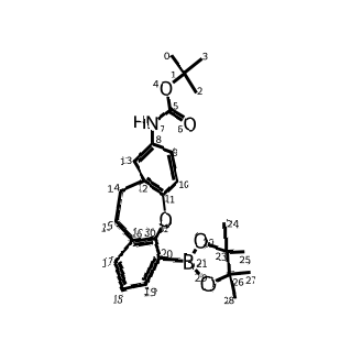 CC(C)(C)OC(=O)Nc1ccc2c(c1)CCc1cccc(B3OC(C)(C)C(C)(C)O3)c1O2